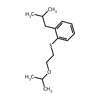 CC(C)Cc1ccccc1SCCOC(C)C